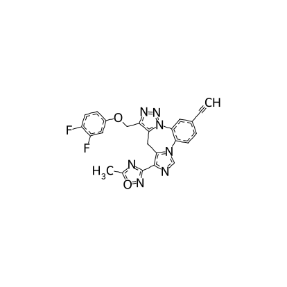 C#Cc1ccc2c(c1)-n1nnc(COc3ccc(F)c(F)c3)c1Cc1c(-c3noc(C)n3)ncn1-2